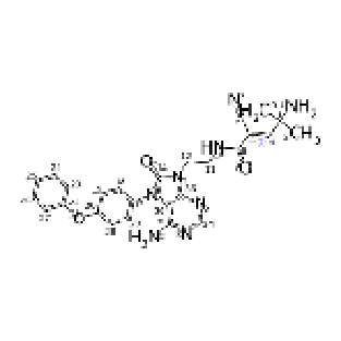 CC(C)(N)/C=C(\C#N)C(=O)NCCn1c(=O)n(-c2ccc(Oc3ccccc3)cc2)c2c(N)ncnc21